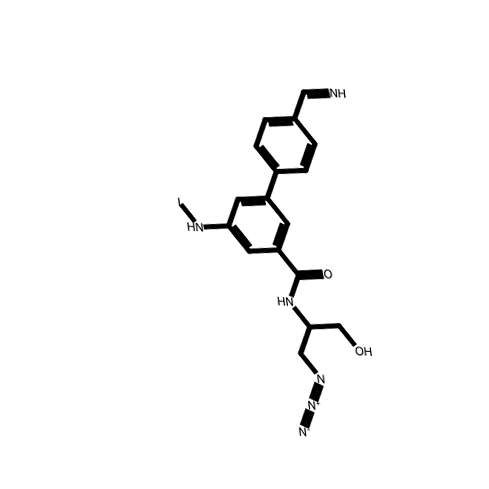 [N-]=[N+]=NCC(CO)NC(=O)c1cc(NI)cc(-c2ccc(C=N)cc2)c1